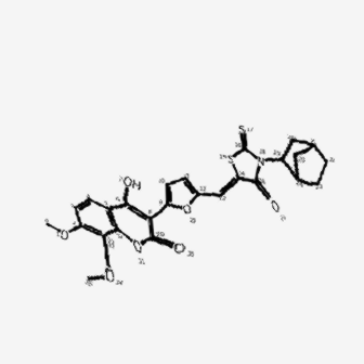 COc1ccc2c(O)c(-c3ccc(/C=C4\SC(=S)N(C5CC6CCC5C6)C4=O)o3)c(=O)oc2c1OC